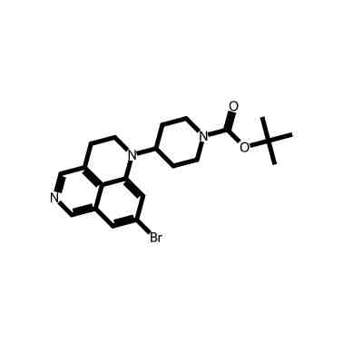 CC(C)(C)OC(=O)N1CCC(N2CCc3cncc4cc(Br)cc2c34)CC1